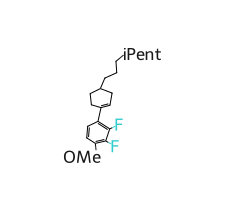 CCCC(C)CCCC1CC=C(c2ccc(OC)c(F)c2F)CC1